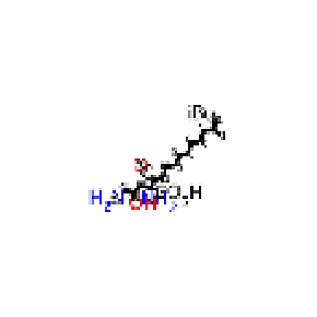 CCC(C)CC(C)CCCCCCCCC(=C=O)[C@](N)(CC(O)CN)C(=O)O